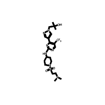 CN(C)CCS(=O)(=O)N1CCC(Nc2ncc(C(F)(F)F)c(-c3cnn(CC(C)(C)O)c3)n2)CC1